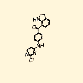 O=C(c1ccc(Nc2ccnc(Cl)n2)cc1)c1cccc2c1NCC2